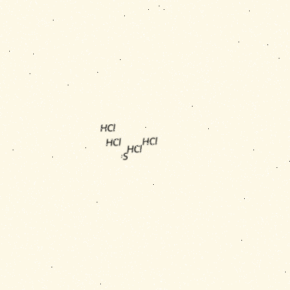 Cl.Cl.Cl.Cl.[S]